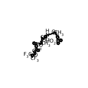 CN(CCN1CCC(N(C(=O)O)c2ccccc2-c2ccccc2)CC1)C(=O)CCCCCNc1ccc(C(=O)N(C)CCCN(C)C(=O)CO[C@H]2Cc3ccccc3C23CCN(CC[C@]2(c4ccc(F)cc4)CN(C(=O)c4cc(C(F)(F)F)cc(C(F)(F)F)c4)CO2)CC3)cc1